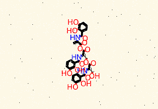 C=C(NC(=O)c1cccc(O)c1O)C(=O)OC(=O)[C@H](COC(=O)[C@H](CO)NC(=O)c1cccc(O)c1O)NC(=O)c1cccc(O)c1O